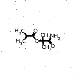 CC(C)C(=O)OC(C)(C)C(N)=O